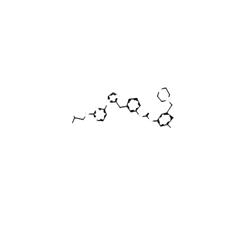 CCN1CCN(Cc2cc(NC(=O)Nc3cccc(Cc4nccn4-c4ccnc(NCC(C)O)n4)c3)cc(C(F)(F)F)c2)CC1